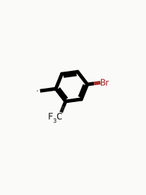 [CH2]c1ccc(Br)cc1C(F)(F)F